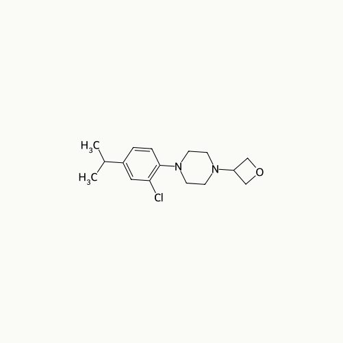 CC(C)c1ccc(N2CCN(C3COC3)CC2)c(Cl)c1